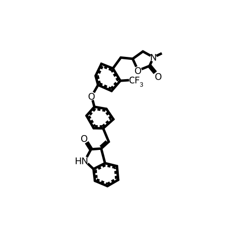 CN1CC(Cc2ccc(Oc3ccc(C=C4C(=O)Nc5ccccc54)cc3)cc2C(F)(F)F)OC1=O